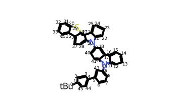 CC(C)(C)c1ccc(-c2cccc(-n3c4ccccc4c4cc(-n5c6ccccc6c6c7sc8ccccc8c7ccc65)ccc43)c2)cc1